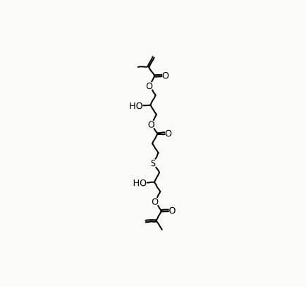 C=C(C)C(=O)OCC(O)COC(=O)CCSCC(O)COC(=O)C(=C)C